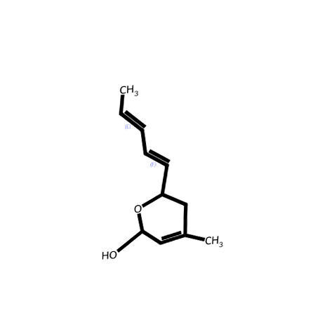 C/C=C/C=C/C1CC(C)=CC(O)O1